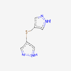 c1n[nH]cc1Sc1cn[nH]c1